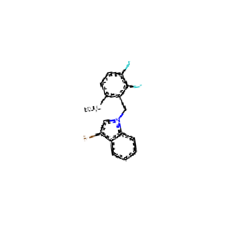 CCOC(=O)c1ccc(F)c(F)c1Cn1cc(Br)c2ccccc21